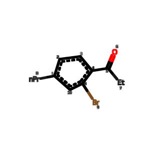 CCCc1ccc(C(=O)CC)c(Br)c1